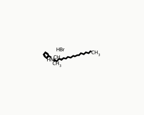 Br.CCCCCCCCCCCCCCCCCC(C)(C)NCc1ccccc1